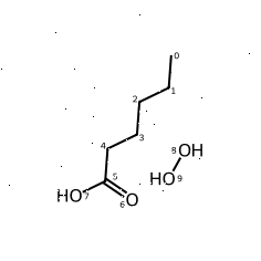 CCCCCC(=O)O.OO